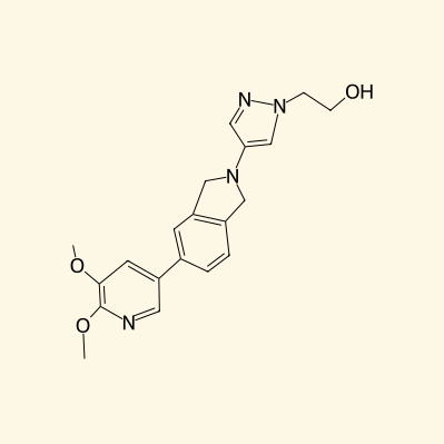 COc1cc(-c2ccc3c(c2)CN(c2cnn(CCO)c2)C3)cnc1OC